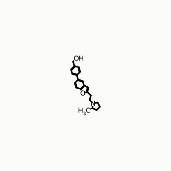 C[C@@H]1CCCN1CCc1cc2cc(-c3ccc(CO)cc3)ccc2o1